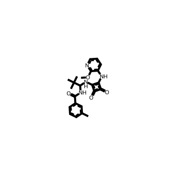 COc1ncccc1Nc1c(NC(NC(=O)c2cccc(C)c2)C(C)(C)C)c(=O)c1=O